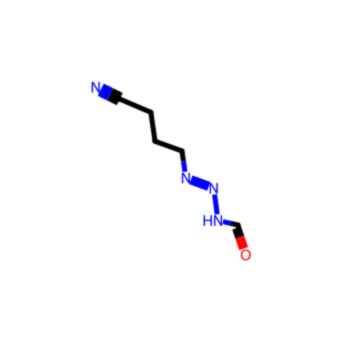 N#CCCCN=NNC=O